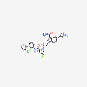 NC(=O)c1cn(CC(=O)N2C[C@H](F)C[C@H]2C(=O)Nc2cccc(-c3ccccc3Cl)c2F)c2ccc(-c3cn[nH]c3)cc12